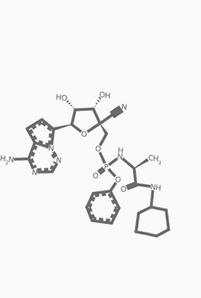 C[C@H](NP(=O)(OC[C@@]1(C#N)O[C@@H](c2ccc3c(N)ncnn23)[C@H](O)[C@@H]1O)Oc1ccccc1)C(=O)NC1CCCCC1